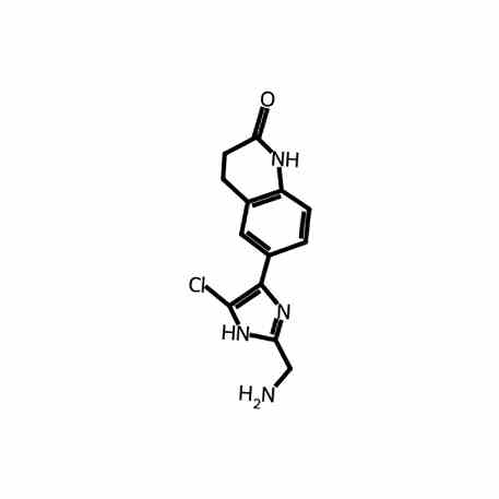 NCc1nc(-c2ccc3c(c2)CCC(=O)N3)c(Cl)[nH]1